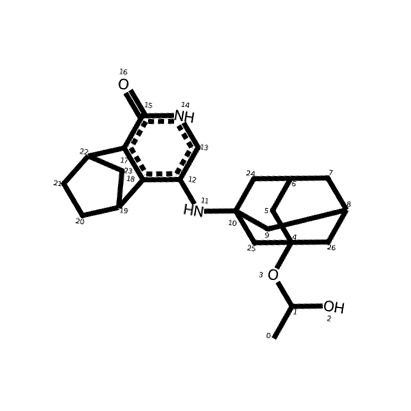 CC(O)OC12CC3CC(CC(Nc4c[nH]c(=O)c5c4C4CCC5C4)(C3)C1)C2